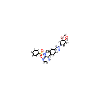 O=S(=O)(c1ccccc1)N(c1nccnc1-c1ccc(CNc2ccc3c(c2)OCO3)cc1)C(F)(F)F